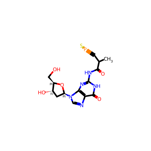 CC(C#P=S)C(=O)Nc1nc2c(ncn2[C@H]2C[C@H](O)[C@@H](CO)O2)c(=O)[nH]1